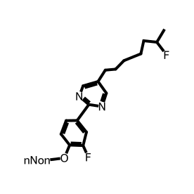 CCCCCCCCCOc1ccc(-c2ncc(CCCCCC(C)F)cn2)cc1F